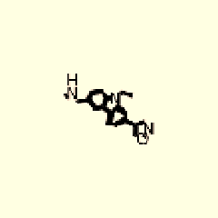 CCn1c2ccc(CNC)cc2c2ccc(-c3cnoc3)cc21